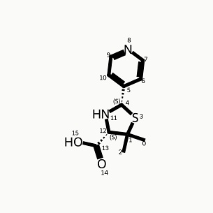 CC1(C)S[C@@H](c2ccncc2)N[C@H]1C(=O)O